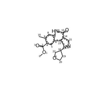 COC(=O)c1cc2c(cc1C)[nH]c(=O)c1cnn(C3CCOC3)c12